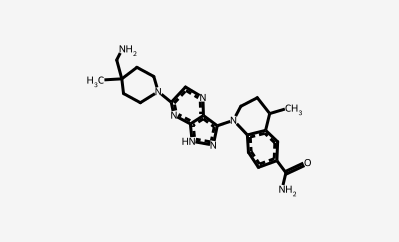 CC1CCN(c2n[nH]c3nc(N4CCC(C)(CN)CC4)cnc23)c2ccc(C(N)=O)cc21